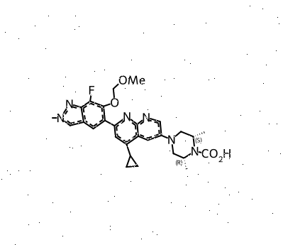 COCOc1c(-c2cc(C3CC3)c3cc(N4C[C@@H](C)N(C(=O)O)[C@@H](C)C4)cnc3n2)cc2cn(C)nc2c1F